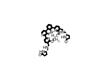 COc1nc(-c2cccc(-c3ccnc(-c4ccc(CNC[C@@H]5CCC(=O)N5)c(OC)n4)c3F)c2Br)ccc1CNC[C@@H]1CCC(=O)N1